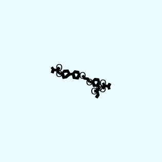 C=CC(=O)Oc1cc(OCCOc2ccc(-c3ccc(OC(=O)C(=C)C)cc3)cc2)ccc1OC(=O)C(=C)C